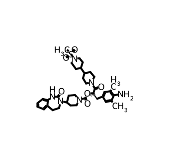 Cc1cc(C[C@@H](OC(=O)N2CCC(N3CCc4ccccc4NC3=O)CC2)C(=O)N2CCC(C3CCN(S(C)(=O)=O)CC3)CC2)cc(C)c1N